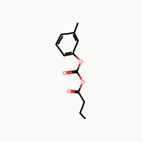 CCCC(=O)OC(=O)Oc1cccc(C)c1